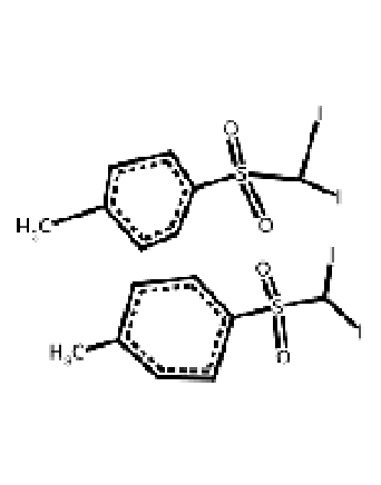 Cc1ccc(S(=O)(=O)C(I)I)cc1.Cc1ccc(S(=O)(=O)C(I)I)cc1